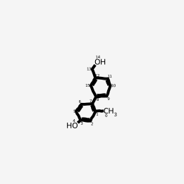 Cc1cc(O)ccc1-c1cccc(CO)c1